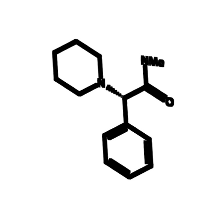 CNC(=O)[C@H](c1ccccc1)N1CCCCC1